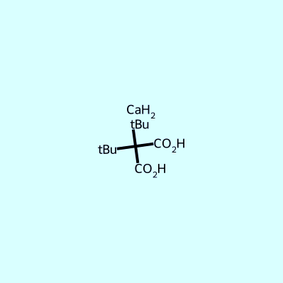 CC(C)(C)C(C(=O)O)(C(=O)O)C(C)(C)C.[CaH2]